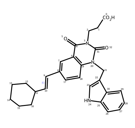 O=C(O)CCn1c(=O)c2cc(/C=C/C3CCCCC3)ccc2n(Cc2c[nH]c3ccccc23)c1=O